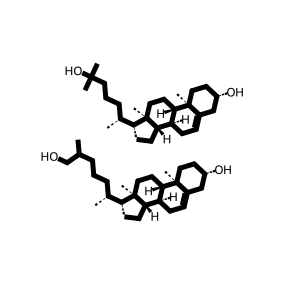 CC(CO)CCC[C@@H](C)[C@H]1CC[C@H]2[C@@H]3CC=C4C[C@@H](O)CC[C@]4(C)[C@H]3CC[C@]12C.C[C@H](CCCC(C)(C)O)[C@H]1CC[C@H]2[C@@H]3CC=C4C[C@@H](O)CC[C@]4(C)[C@H]3CC[C@]12C